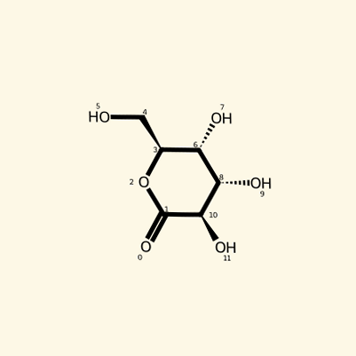 O=C1O[C@@H](CO)[C@H](O)[C@H](O)[C@H]1O